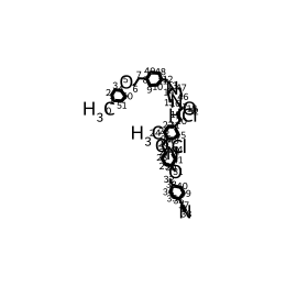 Cc1ccc(OCCc2ccc(CN3CCN(C(=O)C=Cc4cc(C)c(Oc5ccc(OCc6ccc(C#N)cc6)cn5)c(Cl)c4)CC3)cc2)cc1.Cl